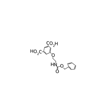 O=C(NCCOc1cc(C(=O)O)cc(C(=O)O)c1)OCc1ccccc1